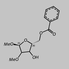 COC1C(O)[C@@H](COC(=O)c2ccccc2)O[C@@H]1OC